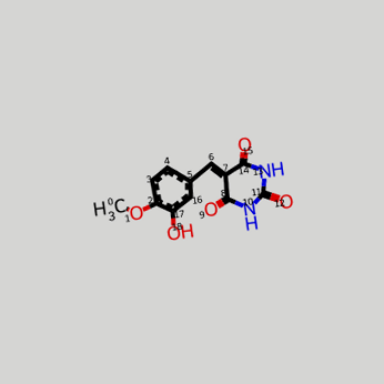 COc1ccc(C=C2C(=O)NC(=O)NC2=O)cc1O